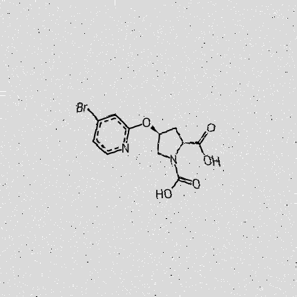 O=C(O)[C@@H]1C[C@H](Oc2cc(Br)ccn2)CN1C(=O)O